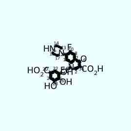 CCn1cc(C(=O)O)c(=O)c2cc(F)c(N3CCNCC3)cc21.O=C(O)c1cc(O)c(O)c(O)c1